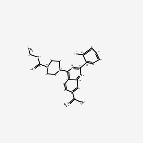 C=C(O)c1ccc2c(N3CCN(C(=O)OCC)CC3)nc(-c3ccccc3Cl)nc2c1